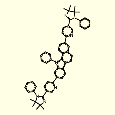 CC1(C)N=C(c2ccc(-c3ccc4c(ccc5c6ccc(-c7ccc(C8=NC(C)(C)C(C)(C)N8c8ccccc8)cn7)cc6n(-c6ccccc6)c45)c3)nc2)N(c2ccccc2)C1(C)C